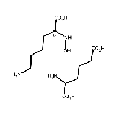 NC(CCCC(=O)O)C(=O)O.NCCCC[C@H](NO)C(=O)O